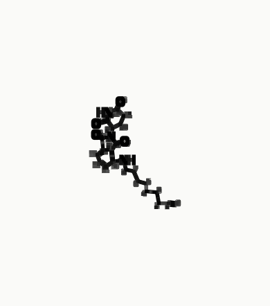 C#CCCCCCCCNc1cccc2c1C(=O)N(C1CCC(=O)NC1=O)C2=O